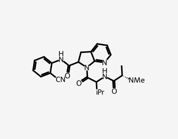 CN[C@@H](C)C(=O)NC(C(=O)N1c2ncccc2CC1C(=O)Nc1ccccc1C#N)C(C)C